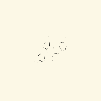 Clc1ccc(C(NC2Nc3ccc(Cl)cc3O2)c2ccc(Cl)cc2)cc1